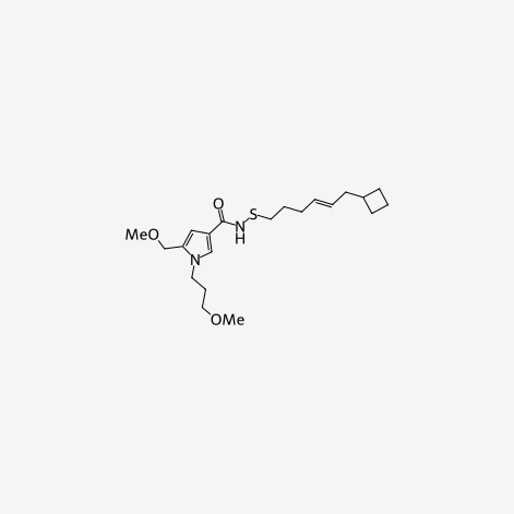 COCCCn1cc(C(=O)NSCCC/C=C/CC2CCC2)cc1COC